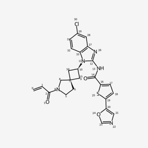 C=CC(=O)N1CC[C@]2(C1)C[C@H](n1c(NC(=O)c3ccc(-c4cnco4)s3)nc3cc(Cl)ccc31)C2